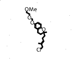 COCCOCOc1ccc2c(c1)CCC(C)(CC/C=C(\C)CCl)O2